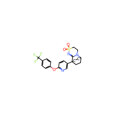 O=S1(=O)CCN2C(=N1)C1(c3ccc(Oc4ccc(C(F)(F)F)cc4)nc3)CCC2CC1